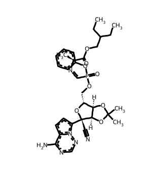 CCC(CC)COC(=O)[C@H](C)/N=C\P(=O)(OC[C@H]1O[C@@](C#N)(c2ccc3c(N)ncnn23)[C@@H]2OC(C)(C)O[C@@H]21)Oc1ccccc1